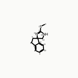 CSC1=NC2(CCc3ccccc32)CN1